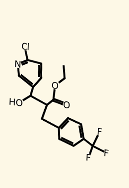 CCOC(=O)C(Cc1ccc(C(F)(F)F)cc1)C(O)c1ccc(Cl)nc1